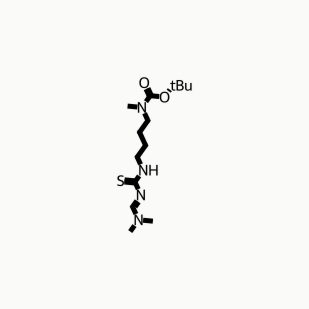 CN(C)C=NC(=S)NCCCCN(C)C(=O)OC(C)(C)C